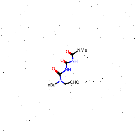 CCCCN(CC=O)C(=O)NC(=O)NC(=O)NC